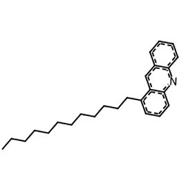 CCCCCCCCCCCCc1cccc2nc3ccccc3cc12